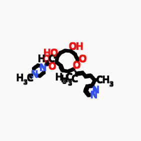 C/C(=C\C=C\C(C)c1cccnn1)[C@H]1OC(=O)C[C@@H](O)CC[C@](C)(O)[C@H](OC(=O)N2CCN(C)CC2)/C=C/[C@@H]1C